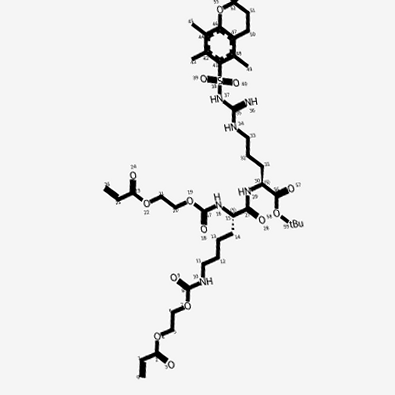 C=CC(=O)OCCOC(=O)NCCCC[C@H](NC(=O)OCCOC(=O)C=C)C(=O)N[C@@H](CCCNC(=N)NS(=O)(=O)c1c(C)c(C)c2c(c1C)CCC(C)(C)O2)C(=O)OC(C)(C)C